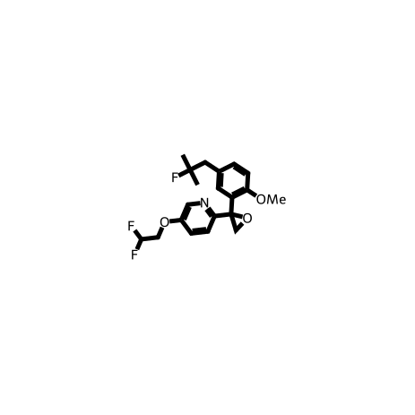 COc1ccc(CC(C)(C)F)cc1C1(c2ccc(OCC(F)F)cn2)CO1